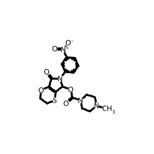 CN1CCN(C(=O)OC2C3=C(OCCS3)C(=O)N2c2cccc([N+](=O)[O-])c2)CC1